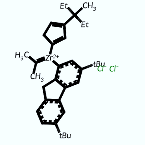 CCC(C)(CC)C1=CC[C]([Zr+2](=[C](C)C)[c]2cc(C(C)(C)C)cc3c2Cc2ccc(C(C)(C)C)cc2-3)=C1.[Cl-].[Cl-]